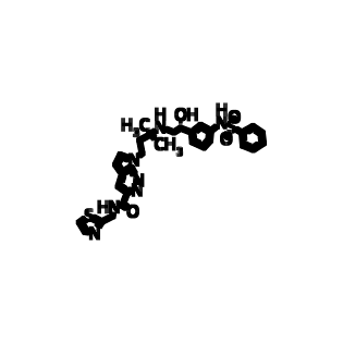 CC(C)(CCn1ccc2cc(C(=O)NCc3nccs3)nnc21)NC[C@H](O)c1cccc(NS(=O)(=O)c2ccccc2)c1